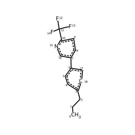 CCCc1ccc(-c2ccc(C(F)(F)F)nc2)cc1